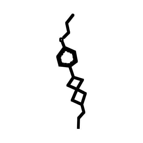 CCCOc1ccc(C2CC3(CC(CCC)C3)C2)cc1